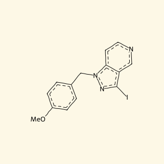 COc1ccc(Cn2nc(I)c3cnccc32)cc1